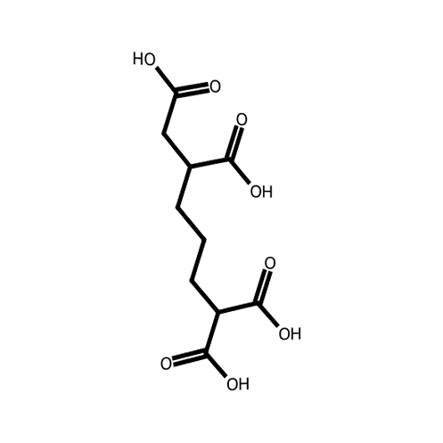 O=C(O)CC(CCCC(C(=O)O)C(=O)O)C(=O)O